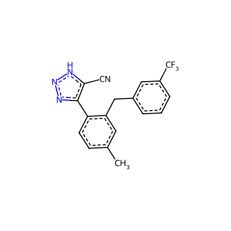 Cc1ccc(-c2nn[nH]c2C#N)c(Cc2cccc(C(F)(F)F)c2)c1